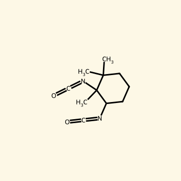 CC1(C)CCCC(N=C=O)C1(C)N=C=O